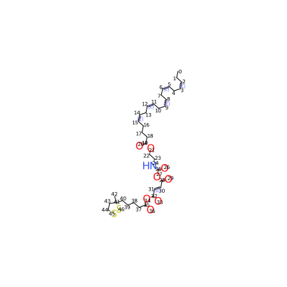 CC/C=C\C/C=C\C/C=C\C/C=C\C/C=C\CCCC(=O)OCCNC(=O)OC(=O)/C=C/C(=O)OC(=O)CCCCC1(C)CCSS1